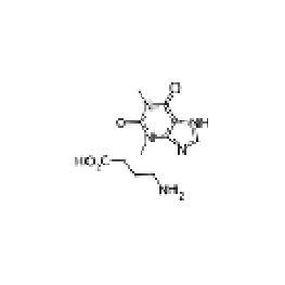 Cn1c(=O)c2[nH]cnc2n(C)c1=O.NCCCC(=O)O